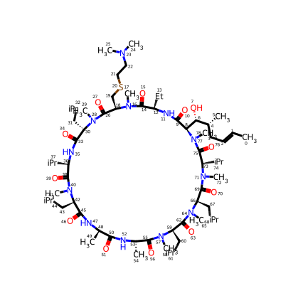 C/C=C/C[C@@H](C)[C@@H](O)[C@@H]1C(=O)N[C@H](CC)C(=O)N(C)[C@H](CSCCN(C)C)C(=O)N(C)[C@@H](CC(C)C)C(=O)N[C@H](C(C)C)C(=O)N(C)[C@H](CC(C)C)C(=O)N[C@H](C)C(=O)N[C@@H](C)C(=O)N(C)[C@H](CC(C)C)C(=O)N(C)[C@H](CC(C)C)C(=O)N(C)[C@H](C(C)C)C(=O)N1C